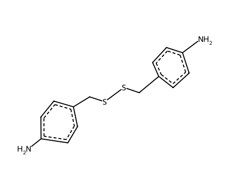 Nc1ccc(CSSCc2ccc(N)cc2)cc1